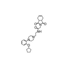 O=C(CN1C(=O)C2CC=CCC2C1=O)NCCN1CCN(c2ccccc2OC2CCCC2)CC1